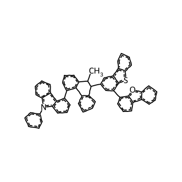 CC1c2cccc(-c3cccc4c3c3ccccc3n4-c3ccccc3)c2-c2ccccc2C1c1cc(-c2cccc3c2oc2ccccc23)c2sc3ccccc3c2c1